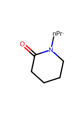 CC[CH]N1CCCCC1=O